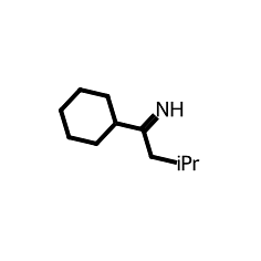 CC(C)CC(=N)C1CCCCC1